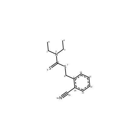 CCN(CC)C(=S)SCc1ccccc1C#N